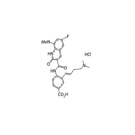 CNc1cc(F)cc2cc(C(=O)Nc3ccc(C(=O)O)cc3/C=C/CCN(C)C)c(=O)[nH]c12.Cl